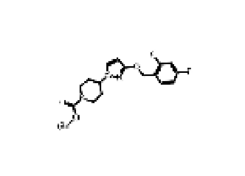 CC(C)(C)OC(=O)N1CCC(n2ccc(OCc3ccc(F)cc3F)n2)CC1